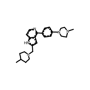 CC1CCN(Cc2cc3c(-c4ccc(N5CCN(C)CC5)cc4)nccc3[nH]2)CC1